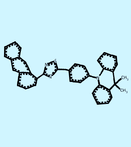 CC1(C)c2ccccc2N(c2ccc(-c3nc(-c4cccc5cc6ccccc6cc45)ns3)cc2)c2ccccc21